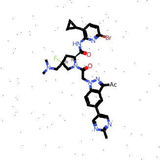 CC(=O)c1nn(CC(=O)N2C[C@@](F)(CN(C)C)C[C@H]2C(=O)Nc2nc(Br)ccc2C2CC2)c2ccc(-c3cnc(C)nc3)cc12